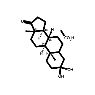 CC(=O)O.C[C@]12CCC(O)(O)CC1CC[C@@H]1[C@@H]2CC[C@]2(C)C(=O)CC[C@@H]12